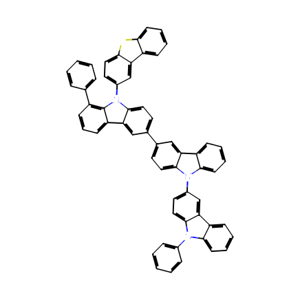 c1ccc(-c2cccc3c4cc(-c5ccc6c(c5)c5ccccc5n6-c5ccc6c(c5)c5ccccc5n6-c5ccccc5)ccc4n(-c4ccc5sc6ccccc6c5c4)c23)cc1